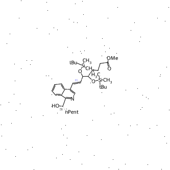 CCCCC[C@H](O)c1ncc(/C=C/C(O[Si](C)(C)C(C)(C)C)C(CCCC(=O)OC)O[Si](C)(C)C(C)(C)C)c2ccccc12